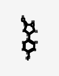 O=C1CC(c2ccc(F)cc2)CO1